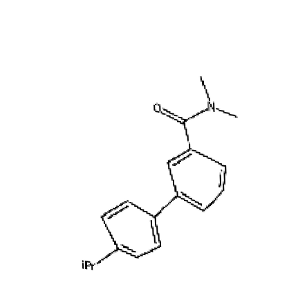 CC(C)c1ccc(-c2cccc(C(=O)N(C)C)c2)cc1